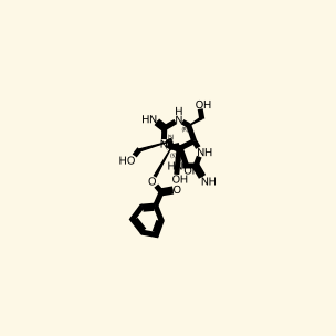 N=C1NC2[C@H](CO)NC(=N)N3[C@@H](CO)[C@H](OC(=O)c4ccccc4)C(O)(O)[C@]23N1